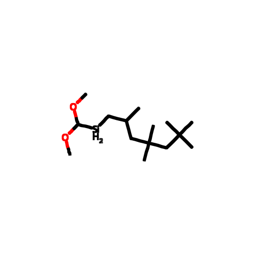 COC(OC)[SiH2]CC(C)CC(C)(C)CC(C)(C)C